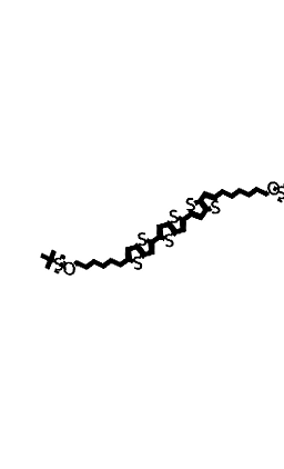 CC(C)(C)[Si](C)(C)OCCCCCCc1cc2sc(-c3cc4sc(-c5cc6sc(CCCCCCO[Si](C)(C)C(C)(C)C)cc6s5)cc4s3)cc2s1